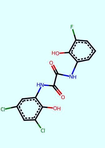 O=C(Nc1cccc(F)c1O)C(=O)Nc1cc(Cl)cc(Cl)c1O